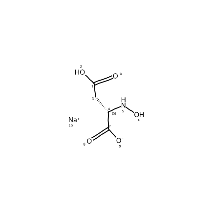 O=C(O)C[C@H](NO)C(=O)[O-].[Na+]